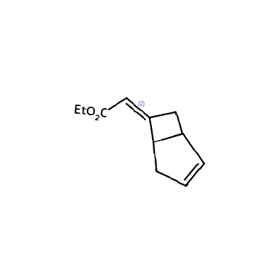 CCOC(=O)/C=C1/CC2C=CCC12